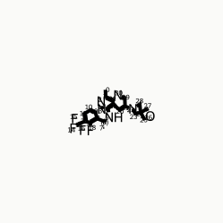 Cc1nnc(N[C@H](C)c2cccc(C(F)(F)F)c2F)c2cc(N3CC4(COC4)C3)cnc12